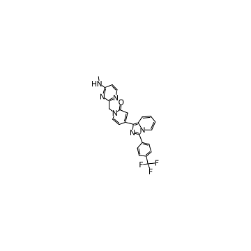 CNc1ccnc(Cn2ccc(-c3nc(-c4ccc(C(F)(F)F)cc4)n4ccccc34)cc2=O)n1